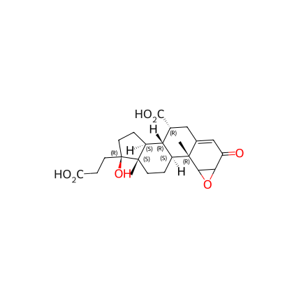 C[C@]12CC[C@H]3[C@@H]([C@H](C(=O)O)CC4=CC(=O)C5OC5[C@@]43C)[C@@H]1CC[C@@]2(O)CCC(=O)O